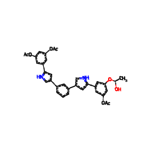 CC(=O)Oc1cc(OC(C)=O)cc(-c2cc(-c3cccc(-c4c[nH]c(-c5cc(OC(C)=O)cc(OC(C)O)c5)c4)c3)c[nH]2)c1